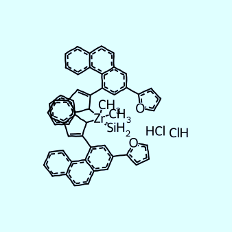 Cl.Cl.[CH3][Zr]([CH3])(=[SiH2])([CH]1C(c2cc(-c3ccco3)cc3ccc4ccccc4c23)=Cc2ccccc21)[CH]1C(c2cc(-c3ccco3)cc3ccc4ccccc4c23)=Cc2ccccc21